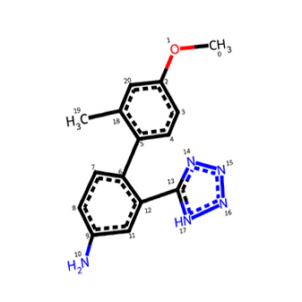 COc1ccc(-c2ccc(N)cc2-c2nnn[nH]2)c(C)c1